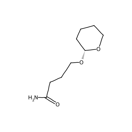 NC(=O)CCCO[C@@H]1CCCCO1